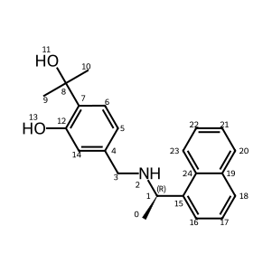 C[C@@H](NCc1ccc(C(C)(C)O)c(O)c1)c1cccc2ccccc12